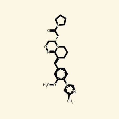 COc1cc(/C=C2\CCCN3C2=NOC[C@@H]3CC(=O)N2CCCC2)ccc1-n1cnc(C)c1